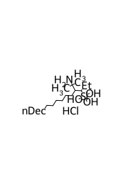 CCCCCCCCCCCCCCCCC(C(CC)[Si](O)(O)O)C(C)(C)N.Cl